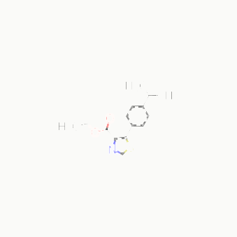 CCOC(=O)c1ncsc1-c1ccc(C(C)C)cc1